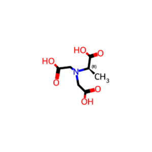 C[C@H](C(=O)O)N(CC(=O)O)CC(=O)O